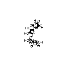 COc1cn([C@@H]2O[C@H](COP(=O)(O)OP(=O)(O)OP(=O)(O)O)C(O)[C@@H]2O)c(=O)[nH]c1=O